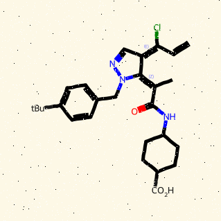 C=C/C(Cl)=c1/cnn(Cc2ccc(C(C)(C)C)cc2)/c1=C(/C)C(=O)NC1CCC(C(=O)O)CC1